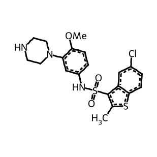 COc1ccc(NS(=O)(=O)c2c(C)sc3ccc(Cl)cc23)cc1N1CCNCC1